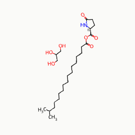 CC(C)CCCCCCCCCCCCCCC(=O)OC(=O)[C@@H]1CCC(=O)N1.OCC(O)CO